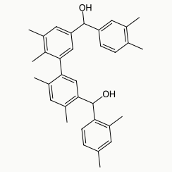 Cc1ccc(C(O)c2cc(-c3cc(C(O)c4ccc(C)c(C)c4)cc(C)c3C)c(C)cc2C)c(C)c1